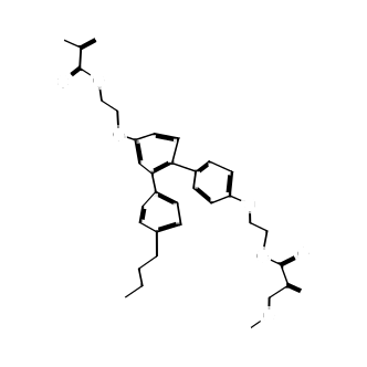 C=C(C)C(=O)OCCOc1ccc(-c2ccc(OCCOC(=O)C(=C)COC)cc2)c(-c2ccc(CCCC)cc2)c1